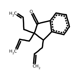 C=CCC1c2ccccc2C(=O)C1(CC=C)CC=C